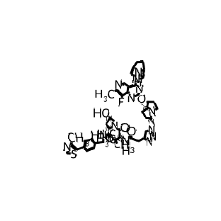 Cc1ncsc1-c1ccc(CNC(=O)[C@H]2C[C@H](O)CN2C(=O)[C@H](NC(=O)Cc2cn(C[C@H]3CC[C@@]4(COc5nc(N6CC7CCC(C6)N7)c6cnc(C)c(F)c6n5)CCCN34)nn2)C(C)(C)C)cc1